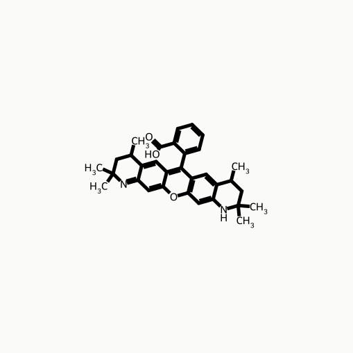 CC1CC(C)(C)Nc2cc3c(cc21)C(c1ccccc1C(=O)O)=c1cc2c(cc1O3)=NC(C)(C)CC2C